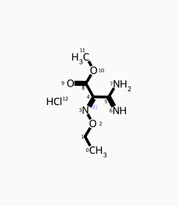 CCO/N=C(\C(=N)N)C(=O)OC.Cl